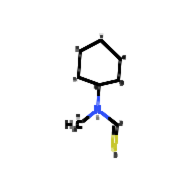 CN(C=S)C1CCCCC1